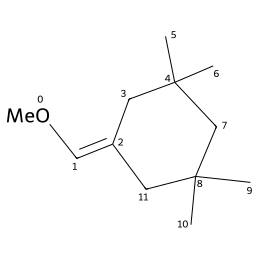 COC=C1CC(C)(C)CC(C)(C)C1